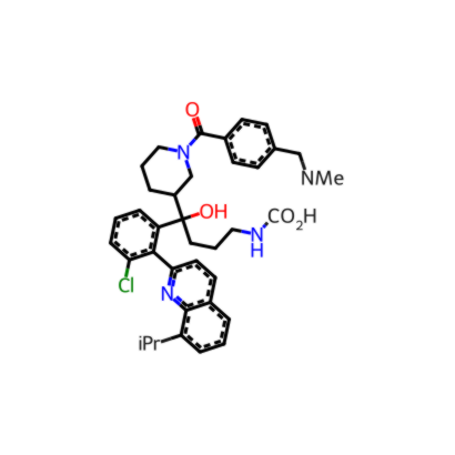 CNCc1ccc(C(=O)N2CCCC(C(O)(CCCNC(=O)O)c3cccc(Cl)c3-c3ccc4cccc(C(C)C)c4n3)C2)cc1